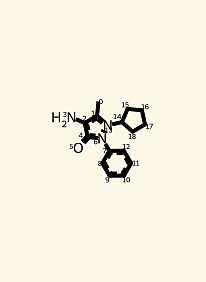 Cc1c(N)c(=O)n(-c2ccccc2)n1C1CCCC1